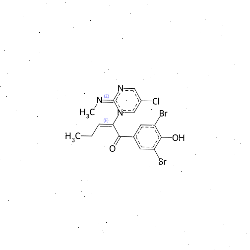 CC/C=C(\C(=O)c1cc(Br)c(O)c(Br)c1)n1cc(Cl)cn/c1=N/C